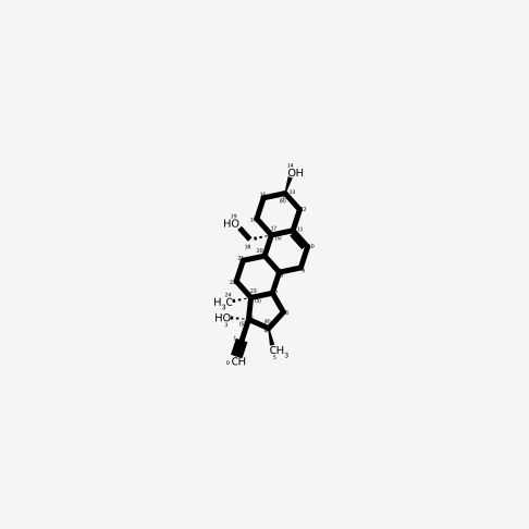 C#C[C@]1(O)[C@H](C)CC2C3CC=C4C[C@H](O)CC[C@]4(CO)C3CC[C@@]21C